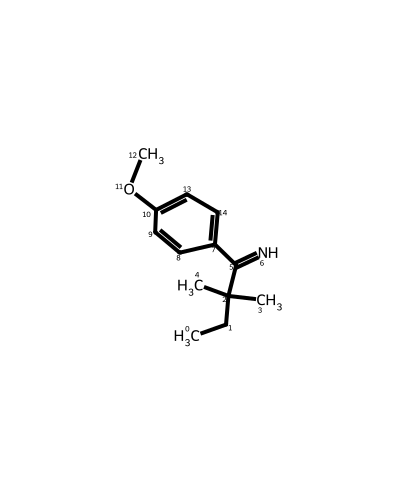 CCC(C)(C)C(=N)c1ccc(OC)cc1